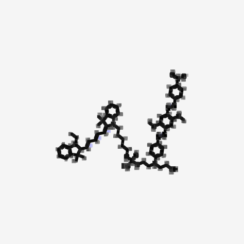 CCN1c2ccccc2C(C)(C)C1/C=C/C=C/C=C1/N(CCCCCOP(=O)(O)OCCN(CCO)c2ccc(/N=N/c3cc(OC)c(/N=N/c4ccc([N+](=O)[O-])cc4)cc3OC)cc2)c2ccccc2C1(C)C